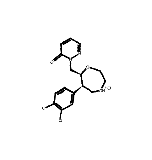 Cl.O=c1cccnn1C[C@H]1OCCNC[C@H]1c1ccc(Cl)c(Cl)c1